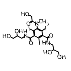 CN(C(=O)CO)c1c(I)c(C(=O)NCC(O)CO)c(I)c(C(=O)NCC(O)CO)c1I